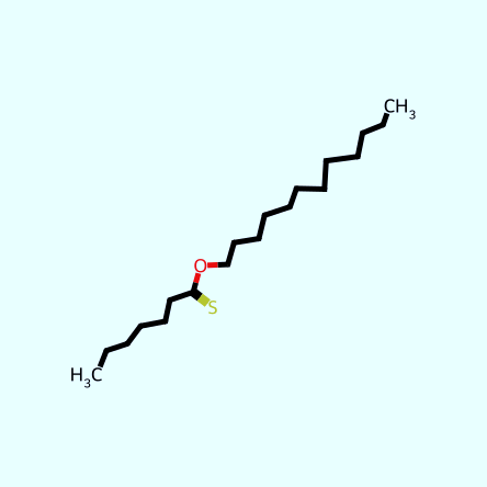 CCCCCCCCCCCCOC(=S)CCCCCC